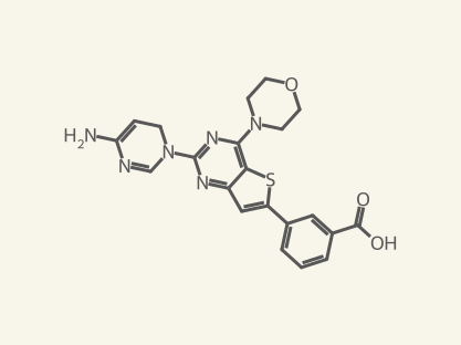 NC1=CCN(c2nc(N3CCOCC3)c3sc(-c4cccc(C(=O)O)c4)cc3n2)C=N1